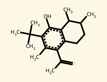 [C]=C(C)c1c(C)c(C(C)(C)C)c(O)c2c1CCC(C)C2C